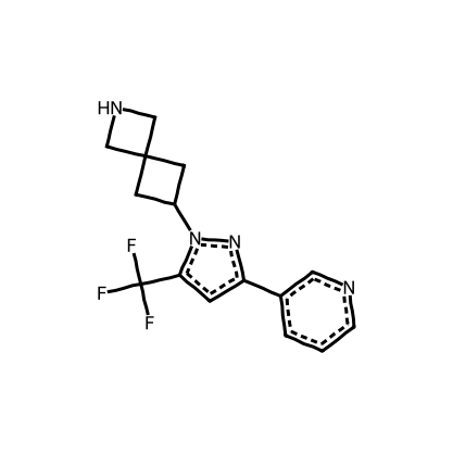 FC(F)(F)c1cc(-c2cccnc2)nn1C1CC2(CNC2)C1